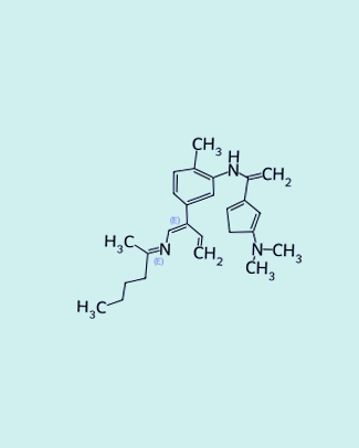 C=C/C(=C\N=C(/C)CCCC)c1ccc(C)c(NC(=C)C2=CCC(N(C)C)=C2)c1